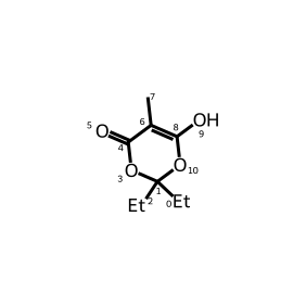 CCC1(CC)OC(=O)C(C)=C(O)O1